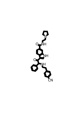 N#Cc1ccc(CCNC(C(=O)c2c[nH]c3cc(C(=O)NCCN4CCCC4)ccc23)c2ccccc2)cc1